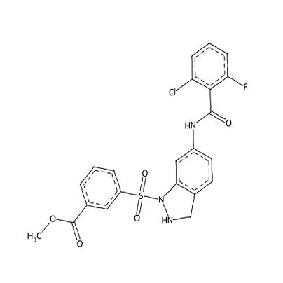 COC(=O)c1cccc(S(=O)(=O)N2NCc3ccc(NC(=O)c4c(F)cccc4Cl)cc32)c1